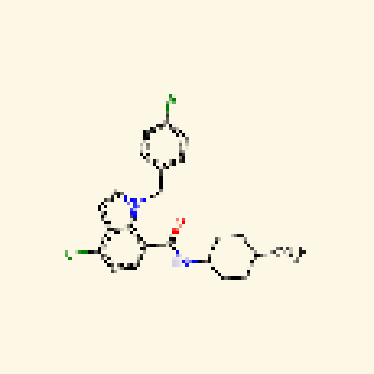 O=C(NC1CCC(C(=O)O)CC1)c1ccc(Cl)c2ccn(Cc3ccc(Br)cc3)c12